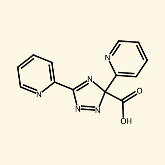 O=C(O)C1(c2ccccn2)N=NC(c2ccccn2)=N1